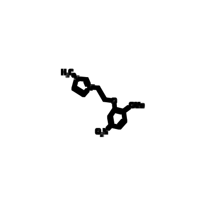 COc1ccc([N+](=O)[O-])cc1OCC[n+]1ccn(C)c1